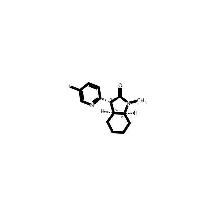 CN1C(=O)[C@@H](c2ccc(I)cn2)[C@@H]2CCCC[C@@H]21